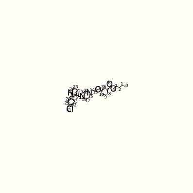 CCCCOC(=O)c1cccc(OCCN2CCCN(Cc3cccnc3-c3ccc(Cl)cc3)CC2)c1